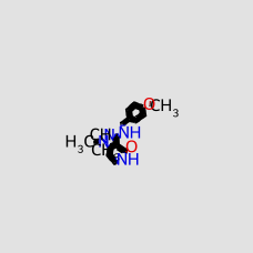 COc1ccc(CNc2nn(C(C)(C)C)c3cc[nH]c(=O)c23)cc1